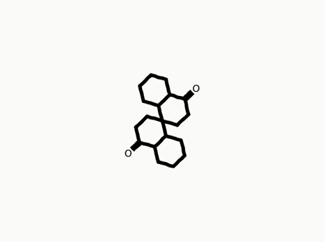 O=C1CCC2(CCC(=O)C3CCCCC32)C2CCCCC12